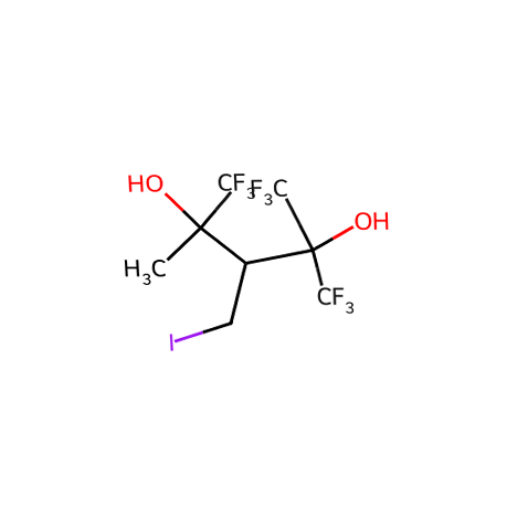 CC(O)(C(CI)C(O)(C(F)(F)F)C(F)(F)F)C(F)(F)F